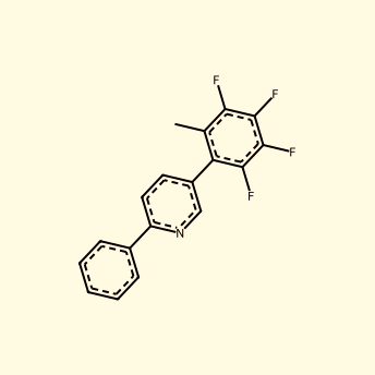 Cc1c(F)c(F)c(F)c(F)c1-c1ccc(-c2ccccc2)nc1